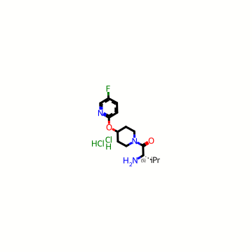 CC(C)[C@H](N)C(=O)N1CCC(Oc2ccc(F)cn2)CC1.Cl.Cl